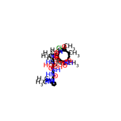 CNN(C)Cc1cc2ccccc2n1CCC(=O)NCCNC(=O)[C@H](O)[C@H](O)C(=O)NCCC(=O)N(C)[C@@H](C)C(=O)O[C@H]1CC(=O)N(C)c2cc(cc(OC)c2Cl)C/C(C)=C/C=C/[C@@H](OC)[C@@]2(O)C[C@H](OC(=O)N2)[C@@H](C)[C@@H]2O[C@@]12C